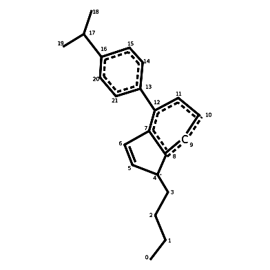 CCCC[C]1C=Cc2c1cccc2-c1ccc(C(C)C)cc1